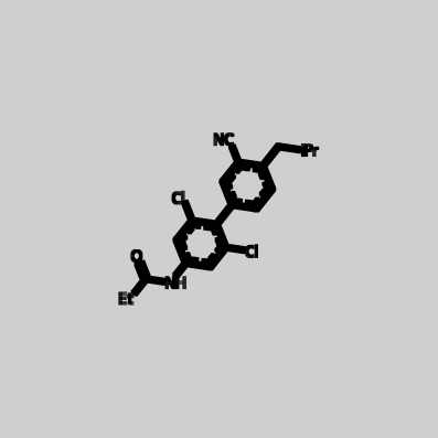 CCC(=O)Nc1cc(Cl)c(-c2ccc(CC(C)C)c(C#N)c2)c(Cl)c1